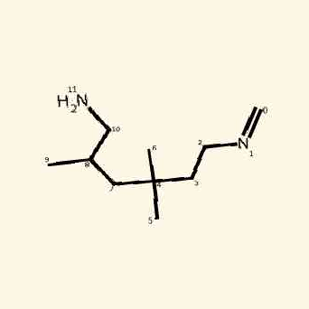 C=NCCC(C)(C)CC(C)CN